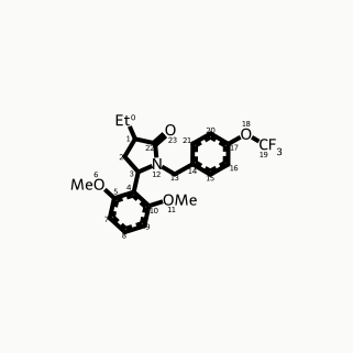 CCC1CC(c2c(OC)cccc2OC)N(Cc2ccc(OC(F)(F)F)cc2)C1=O